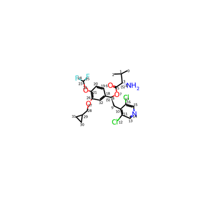 CC(C)[C@H](N)C(=O)O[C@@H](Cc1c(Cl)cncc1Cl)c1ccc(OC(F)F)c(OCC2CC2)c1